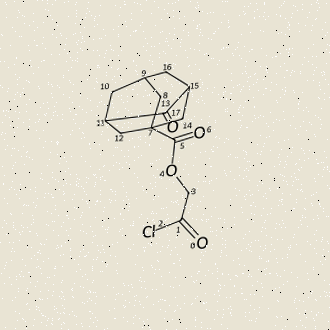 O=C(Cl)COC(=O)C12CC3CC(C1)C(=O)C(C3)C2